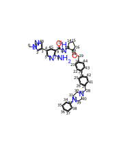 Cn1cc(-c2cnc(N)c(C(=O)N[C@H]3CCC[C@@H]3OCc3ccc(-c4ccc(CN5CCN(c6ccccc6)CC5)cc4)cc3)c2)cn1